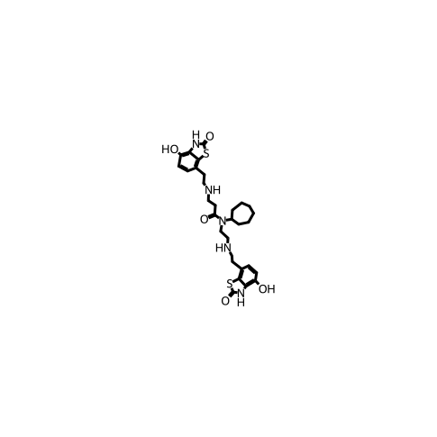 O=C(CCNCCc1ccc(O)c2[nH]c(=O)sc12)N(CCNCCc1ccc(O)c2[nH]c(=O)sc12)C1CCCCCC1